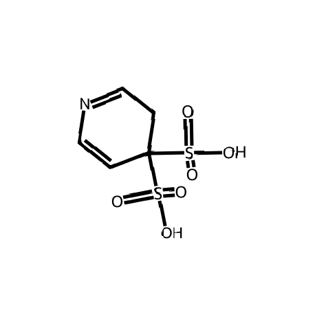 O=S(=O)(O)C1(S(=O)(=O)O)C=CN=CC1